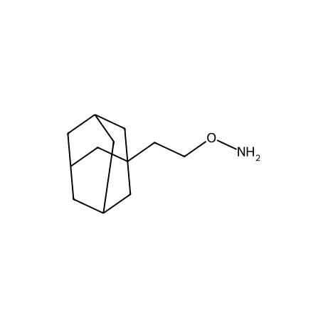 NOCCC12CC3CC(CC(C3)C1)C2